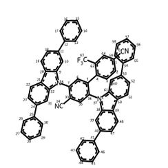 N#Cc1ccc(-c2cc(-n3c4cc(-c5ccccc5)ccc4c4ccc(-c5ccccc5)cc43)c(C#N)cc2-n2c3cc(-c4ccccc4)ccc3c3ccc(-c4ccccc4)cc32)c(C(F)(F)F)c1